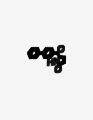 O=C1CC[C@H](C(=O)c2ccc(-c3ccccc3)cc2)N1